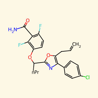 C=CCc1oc(C(CCC)Oc2ccc(F)c(C(N)=O)c2F)nc1-c1ccc(Cl)cc1